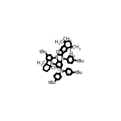 CC(C)(C)c1ccc(N(c2ccc(C(C)(C)C)cc2)c2cc3c4c(c2)N2c5c(cc(C(C)(C)C)cc5C5(C)CCCCC25C)B4c2oc4cc5c(cc4c2N3c2ccc(C(C)(C)C)cc2)C(C)(C)CCC5(C)C)cc1